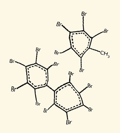 Brc1c(Br)c(Br)c(-c2c(Br)c(Br)c(Br)c(Br)c2Br)c(Br)c1Br.Cc1c(Br)c(Br)c(Br)c(Br)c1Br